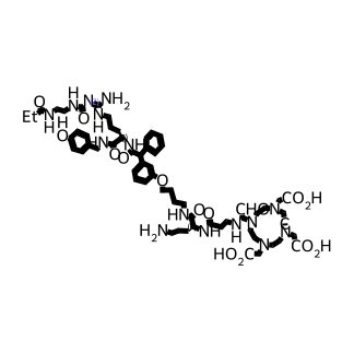 CCC(=O)NCCNC(=O)/N=C(/N)NCCC[C@@H](NC(=O)C(c1ccccc1)c1cccc(OCCCCNC(=O)[C@@H](CCCN)NC(=O)CCNC(C=O)N2CCN(CC(=O)O)CCN(CC(=O)O)CCN(CC(=O)O)CC2)c1)C(=O)NCc1ccc(O)cc1